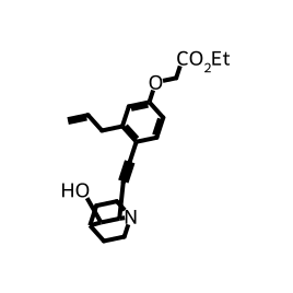 C=CCc1cc(OCC(=O)OCC)ccc1C#CC1C(O)C2CCN1CC2